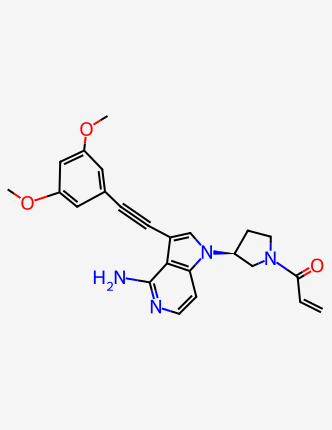 C=CC(=O)N1CC[C@H](n2cc(C#Cc3cc(OC)cc(OC)c3)c3c(N)nccc32)C1